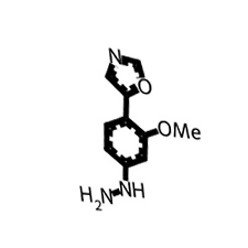 COc1cc(NN)ccc1-c1cnco1